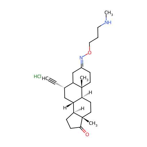 C#C[C@H]1C[C@@H]2[C@H](CC[C@]3(C)C(=O)CC[C@@H]23)[C@@]2(C)CCC(=NOCCCNC)CC12.Cl